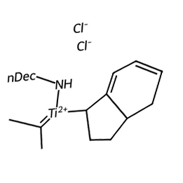 CCCCCCCCCC[NH][Ti+2](=[C](C)C)[CH]1CCC2CC=CC=C21.[Cl-].[Cl-]